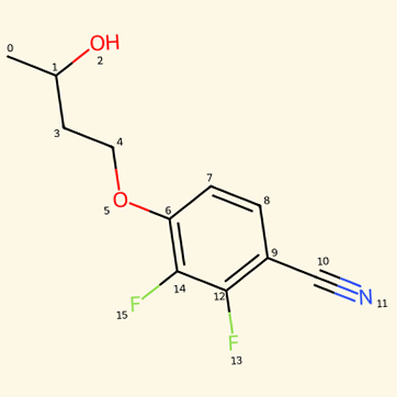 CC(O)CCOc1ccc(C#N)c(F)c1F